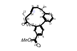 COC(=O)c1ccc2c(c1)NC(=O)[C@H](C)/C=C/C[C@H](I)c1cc-2ccn1